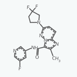 Cc1nc2ccc(N3CCC(F)(F)C3)nn2c1C(=O)Nc1cncc(F)c1